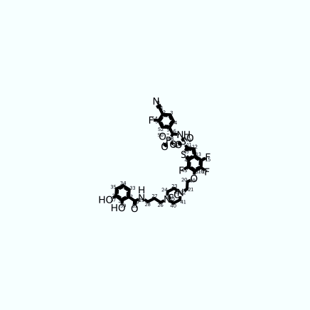 N#Cc1ccc(C(NS(=O)(=O)c2cc3c(F)c(F)c(OCC[N+]45CC[N+](CCCNC(=O)c6cccc(O)c6O)(CC4)CC5)c(F)c3s2)P(=O)([O-])[O-])cc1F